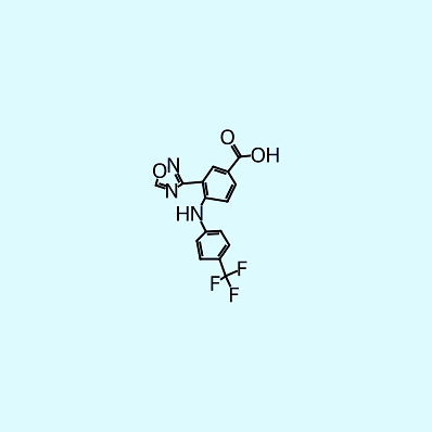 O=C(O)c1ccc(Nc2ccc(C(F)(F)F)cc2)c(-c2ncon2)c1